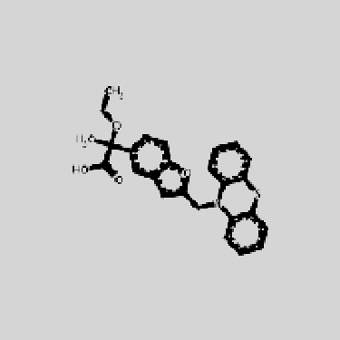 CCOC(C)(C(=O)O)c1ccc2oc(CN3c4ccccc4Sc4ccccc43)cc2c1